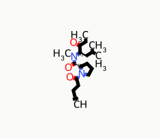 C#CCCC(=O)N1CCC[C@H]1C(=O)N(C)[C@H](CC(C)C)C(=O)CC